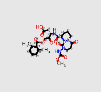 COC(=O)NN1CCC(=O)N2CCC[C@@H](C(=O)N[C@@H](CC(=O)O)C(=O)COC(=O)c3c(C)cccc3C)N2C1=O